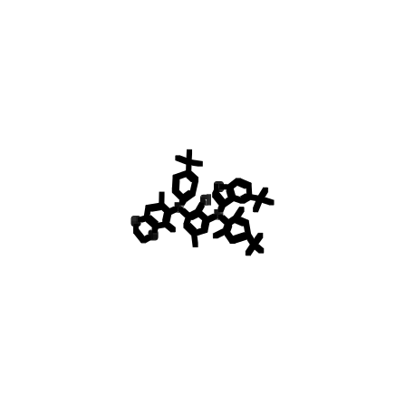 Cc1cc(N(c2ccc(C(C)(C)C)cc2)c2c(C)cc3c(c2C)OCCO3)c(Cl)c(N(c2c(C)cc(C(C)(C)C)cc2C)c2coc3ccc(C(C)(C)C)cc23)c1